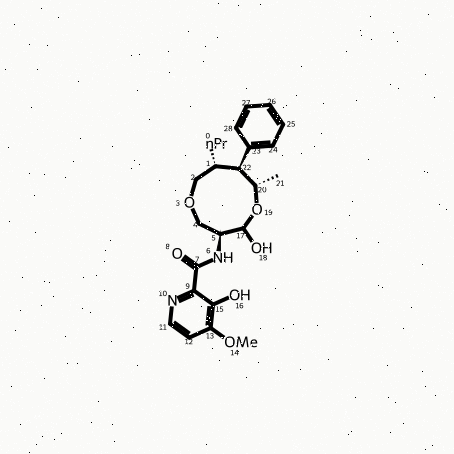 CCC[C@H]1COC[C@H](NC(=O)c2nccc(OC)c2O)C(O)O[C@@H](C)[C@@H]1c1ccccc1